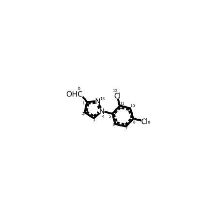 O=Cc1ccn(-c2ccc(Cl)cc2Cl)n1